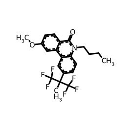 CCCCn1c(=O)c2ccc(OC)cc2c2cc(C(C)(C(F)(F)F)C(F)(F)F)ccc21